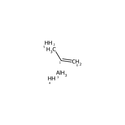 C=CC.[AlH3].[HH].[HH]